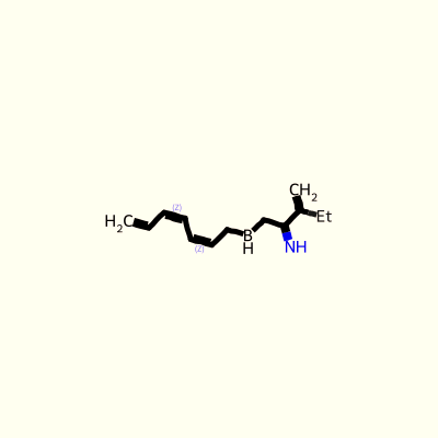 C=C/C=C\C=C/CBCC(=N)C(=C)CC